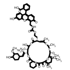 COC1CC(/C=C(\C)[C@H]2OC(=O)C3CCCCN3C(=O)C(=O)C3(O)O[C@@H]([C@@H](OC)CC3C)[C@@H](OC)C[C@@H](C)C/C(C)=C/[C@@H](CCOC(=O)NCc3c4oc5cc(O)ccc5c(-c5ccccc5C(=O)O)c-4ccc3=O)C(=O)CC(O)[C@H]2C)CCC1O